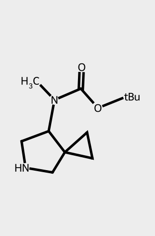 CN(C(=O)OC(C)(C)C)C1CNCC12CC2